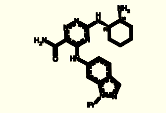 CC(C)n1ncc2ccc(Nc3nc(N[C@@H]4CCCC[C@@H]4N)nnc3C(N)=O)cc21